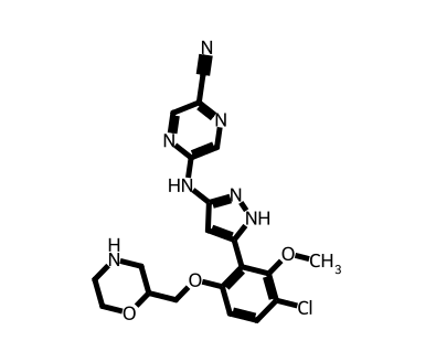 COc1c(Cl)ccc(OCC2CNCCO2)c1-c1cc(Nc2cnc(C#N)cn2)n[nH]1